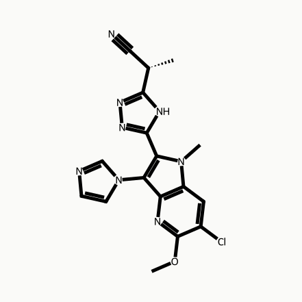 COc1nc2c(-n3ccnc3)c(-c3nnc([C@@H](C)C#N)[nH]3)n(C)c2cc1Cl